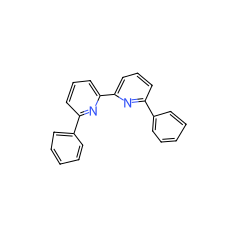 c1ccc(-c2cccc(-c3cccc(-c4ccccc4)n3)n2)cc1